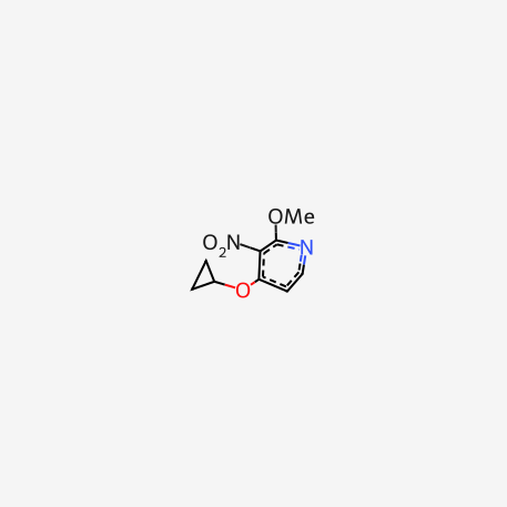 COc1nccc(OC2CC2)c1[N+](=O)[O-]